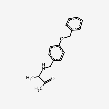 CC(=O)C(C)NCc1ccc(OCc2ccccc2)cc1